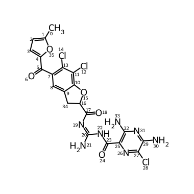 Cc1ccc(C(=O)c2cc3c(c(Cl)c2Cl)OC(C(=O)N=C(N)NC(=O)c2nc(Cl)c(N)nc2N)C3)o1